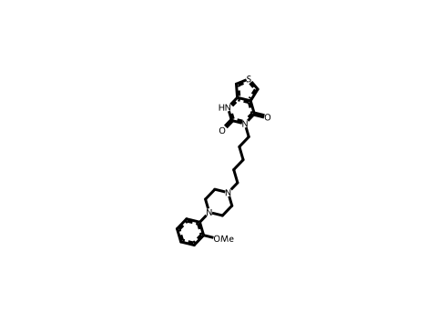 COc1ccccc1N1CCN(CCCCCn2c(=O)[nH]c3cscc3c2=O)CC1